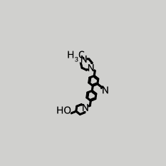 CN1CCCN(Cc2ccc(-c3ccc(CN4CCC(CO)CC4)cc3)c(C#N)c2)CC1